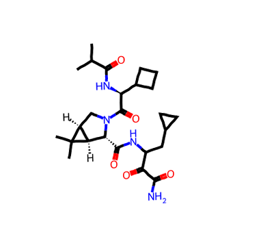 CC(C)C(=O)N[C@H](C(=O)N1C[C@H]2[C@@H]([C@H]1C(=O)NC(CC1CC1)C(=O)C(N)=O)C2(C)C)C1CCC1